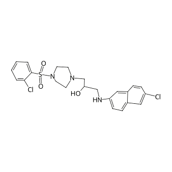 O=S(=O)(c1ccccc1Cl)N1CCN(CC(O)CNc2ccc3cc(Cl)ccc3c2)CC1